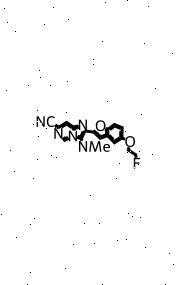 CNc1c(-c2cc3cc(OCCF)ccc3o2)nc2cc(C#N)ncn12